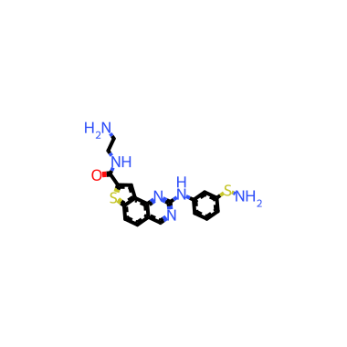 NCCNC(=O)c1cc2c(ccc3cnc(Nc4cccc(SN)c4)nc32)s1